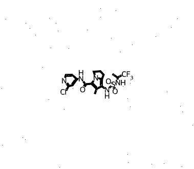 Cc1c(NS(=O)(=O)NC(C)C(F)(F)F)c2n(c1C(=O)Nc1ccnc(Cl)c1)CCC2